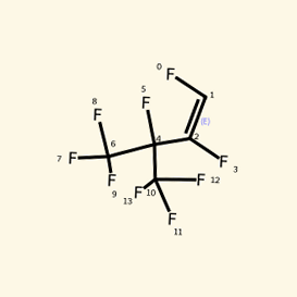 F/C=C(/F)C(F)(C(F)(F)F)C(F)(F)F